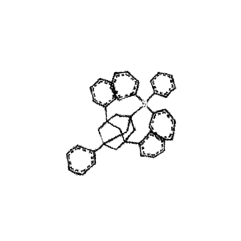 c1ccc(C23CC4(c5ccccc5)CC(c5ccccc5)(C2)CC([Si](c2ccccc2)(c2ccccc2)c2ccccc2)(C3)C4)cc1